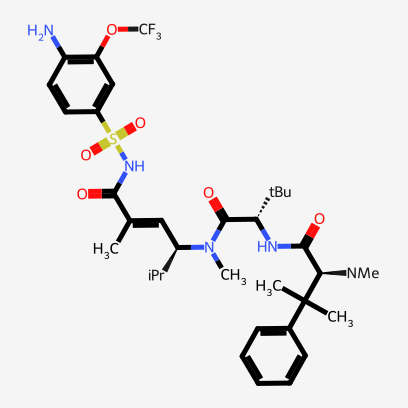 CN[C@H](C(=O)N[C@H](C(=O)N(C)[C@H](C=C(C)C(=O)NS(=O)(=O)c1ccc(N)c(OC(F)(F)F)c1)C(C)C)C(C)(C)C)C(C)(C)c1ccccc1